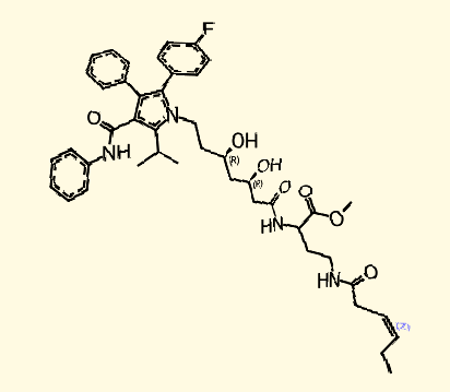 CC/C=C\CC(=O)NCCC(NC(=O)C[C@H](O)C[C@H](O)CCn1c(-c2ccc(F)cc2)c(-c2ccccc2)c(C(=O)Nc2ccccc2)c1C(C)C)C(=O)OC